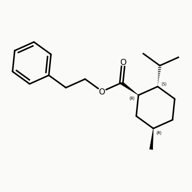 CC(C)[C@@H]1CC[C@@H](C)C[C@H]1C(=O)OCCc1ccccc1